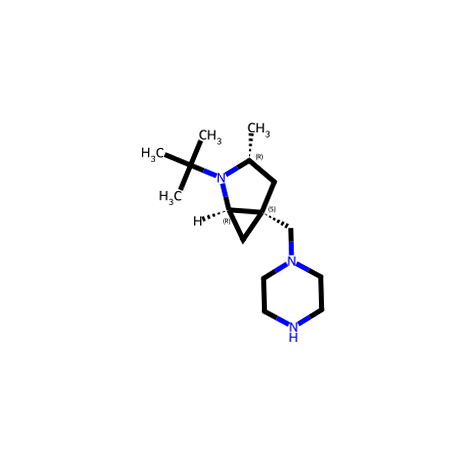 C[C@@H]1C[C@@]2(CN3CCNCC3)C[C@H]2N1C(C)(C)C